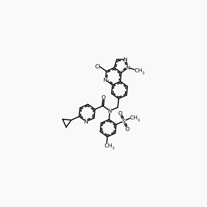 Cc1ccc(N(Cc2ccc3c(c2)nc(Cl)c2cnn(C)c23)C(=O)c2ccc(C3CC3)nc2)c(S(C)(=O)=O)c1